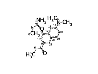 C=CC(N)=O.CCC(=O)c1ccc2cc(N(C)C)ccc2c1